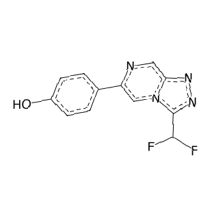 Oc1ccc(-c2cn3c(C(F)F)nnc3cn2)cc1